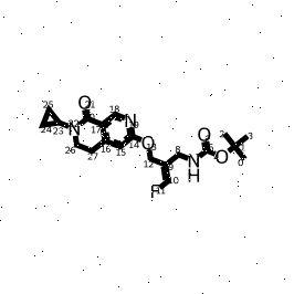 CC(C)(C)OC(=O)NC/C(=C/F)COc1cc2c(cn1)C(=O)N(C1CC1)CC2